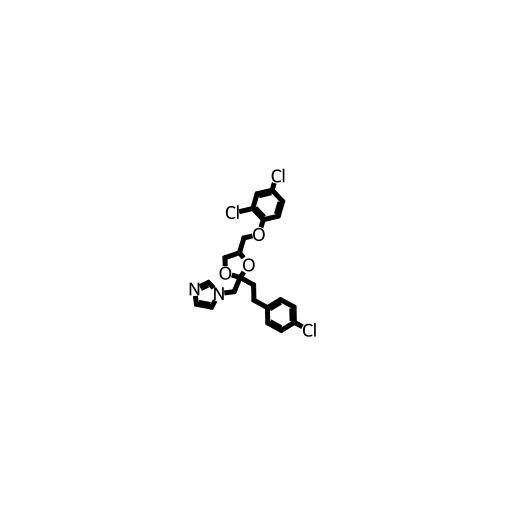 Clc1ccc(CCC2(Cn3ccnc3)OCC(COc3ccc(Cl)cc3Cl)O2)cc1